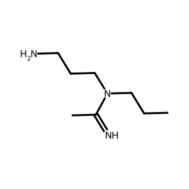 CCCN(CCCN)C(C)=N